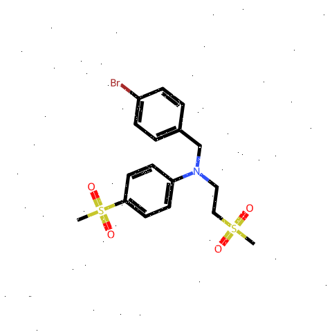 CS(=O)(=O)CCN(Cc1ccc(Br)cc1)c1ccc(S(C)(=O)=O)cc1